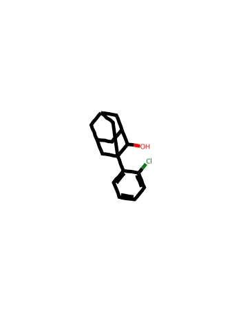 OC1C2CC3CC(C2)CC1(c1ccccc1Cl)C3